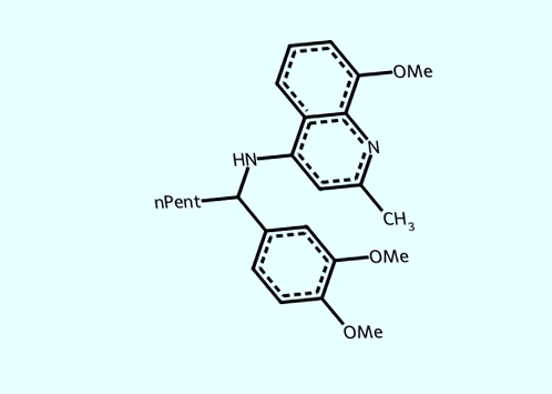 CCCCCC(Nc1cc(C)nc2c(OC)cccc12)c1ccc(OC)c(OC)c1